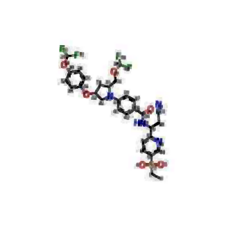 CCS(=O)(=O)c1ccc([C@H](CC#N)NC(=O)c2ccc(N3C[C@@H](Oc4ccc(OC(F)F)cc4)C[C@H]3COC(F)F)cc2)nc1